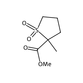 COC(=O)C1(C)CCCS1(=O)=O